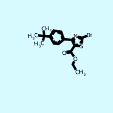 CCOC(=O)c1sc(Br)nc1-c1ccc(C(C)(C)C)cc1